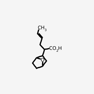 CC=CCC(C(=O)O)C1CC2CCC1O2